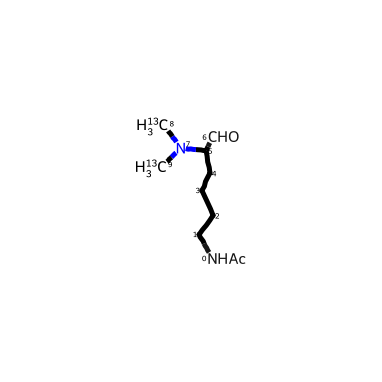 [13CH3]C(=O)NCCCCC(C=O)N([13CH3])[13CH3]